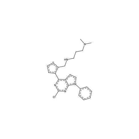 CN(C)CCCNCc1sccc1-c1nc(Cl)nc2c1ccn2-c1ccccc1